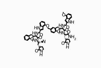 COc1cccc2[nH]c(C(=O)N[C@H](C(=O)N[C@@H](C[C@@H]3CCNC3=O)C(N)=O)[C@@H]3Cc4cc(COc5cccc6[nH]c(C(=O)N[C@H](C(=O)N[C@H](C#N)C[C@@H]7CCNC7=O)[C@@H]7Cc8ccccc8O7)cc56)ccc4O3)cc12